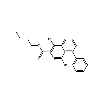 CCCCOC(=O)c1nc(Br)c2c(-c3ccccc3)cccc2c1O